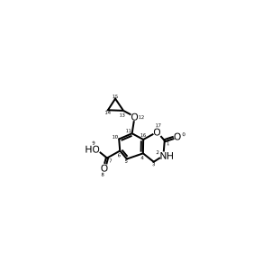 O=C1NCc2cc(C(=O)O)cc(OC3CC3)c2O1